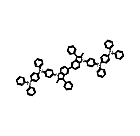 Cc1c(-c2ccccc2)c2cc(-c3ccc4c(c3)c(-c3ccccc3)c(C)n4-c3ccc(N(c4ccccc4)c4ccc(N(c5ccccc5)c5ccccc5)cc4)cc3)ccc2n1-c1ccc(N(c2ccccc2)c2ccc(N(c3ccccc3)c3ccccc3)cc2)cc1